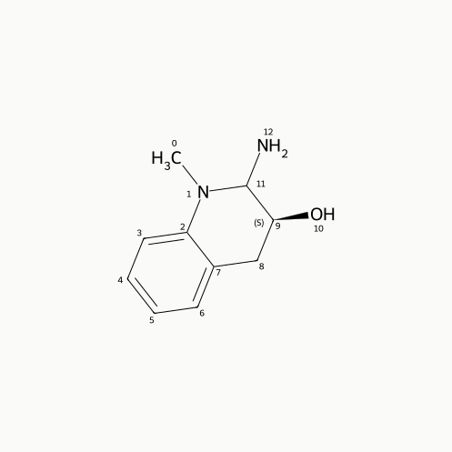 CN1c2ccccc2C[C@H](O)C1N